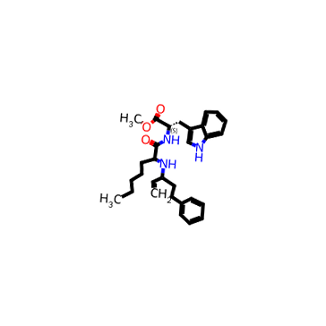 C=CC(CCc1ccccc1)NC(CCCCC)C(=O)N[C@@H](Cc1c[nH]c2ccccc12)C(=O)OC